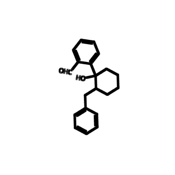 O=Cc1ccccc1C1(O)CCCCC1Cc1ccccc1